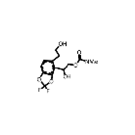 CNC(=O)OCC(O)c1c(CCO)ccc2c1OC(F)(F)O2